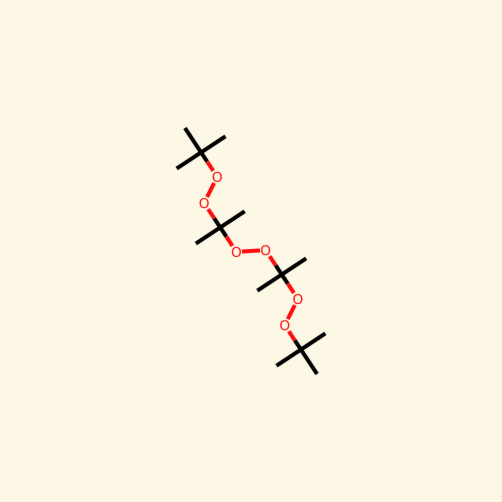 CC(C)(C)OOC(C)(C)OOC(C)(C)OOC(C)(C)C